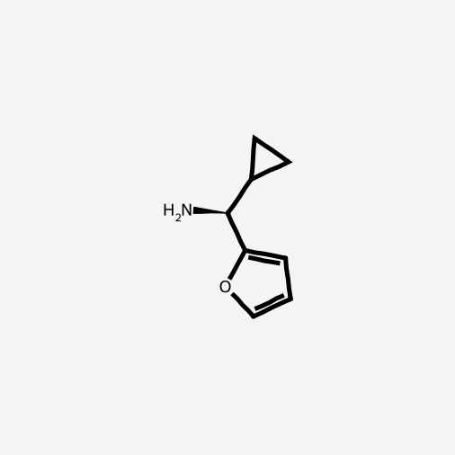 N[C@H](c1ccco1)C1CC1